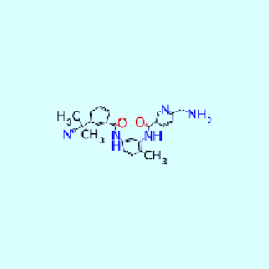 Cc1ccc(NC(=O)c2cccc(C(C)(C)C#N)c2)cc1NC(=O)c1ccc(CN)nc1